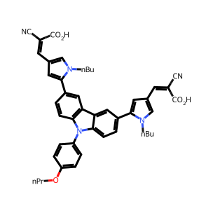 CCCCn1cc(/C=C(/C#N)C(=O)O)cc1-c1ccc2c(c1)c1cc(-c3cc(/C=C(/C#N)C(=O)O)cn3CCCC)ccc1n2-c1ccc(OCCC)cc1